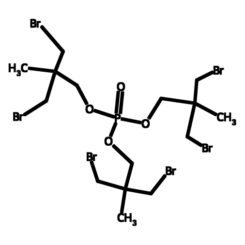 CC(CBr)(CBr)COP(=O)(OCC(C)(CBr)CBr)OCC(C)(CBr)CBr